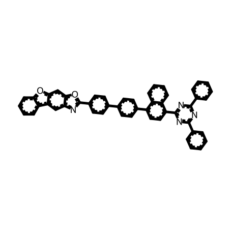 c1ccc(-c2nc(-c3ccccc3)nc(-c3ccc(-c4ccc(-c5ccc(-c6nc7cc8c(cc7o6)oc6ccccc68)cc5)cc4)c4ccccc34)n2)cc1